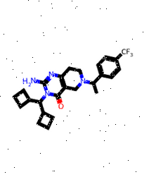 CC(c1ccc(C(F)(F)F)cc1)N1CCc2nc(N)n(C(C3CCC3)C3CCC3)c(=O)c2C1